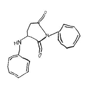 O=C1CC(Nc2ccccc2)C(=O)N1c1ccccc1